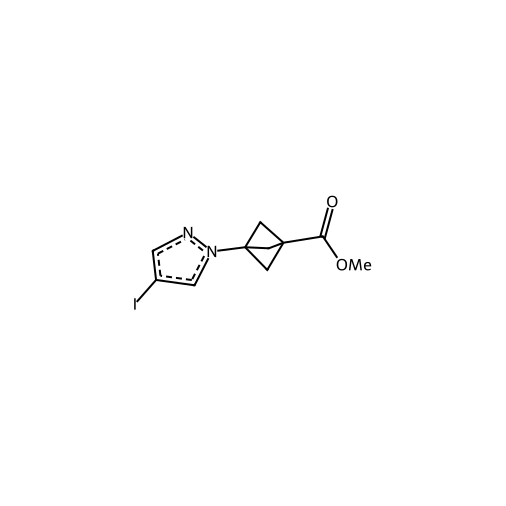 COC(=O)C12CC(n3cc(I)cn3)(C1)C2